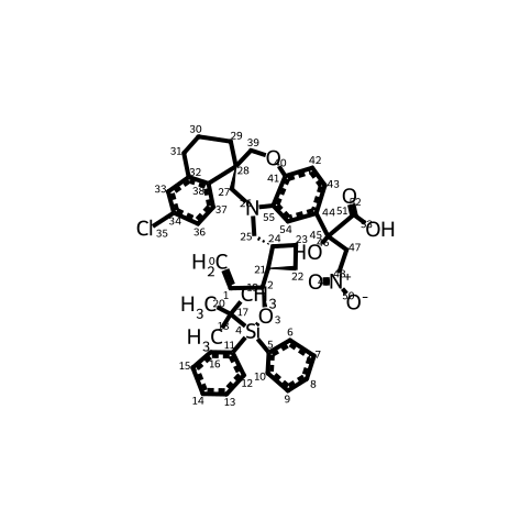 C=C[C@H](O[Si](c1ccccc1)(c1ccccc1)C(C)(C)C)[C@@H]1CC[C@H]1CN1C[C@@]2(CCCc3cc(Cl)ccc32)COc2ccc(C(O)(C[N+](=O)[O-])C(=O)O)cc21